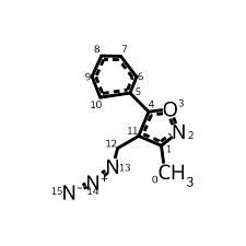 Cc1noc(-c2ccccc2)c1CN=[N+]=[N-]